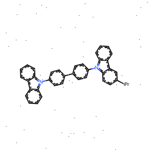 CC(C)c1ccc2c(c1)c1ccccc1n2-c1ccc(-c2ccc(-n3c4ccccc4c4ccccc43)cc2)cc1